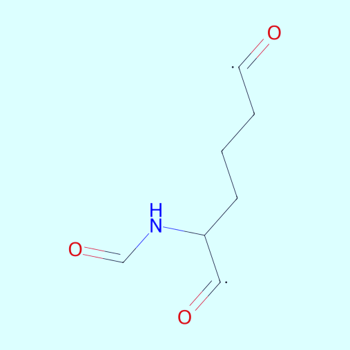 O=[C]CCCC([C]=O)NC=O